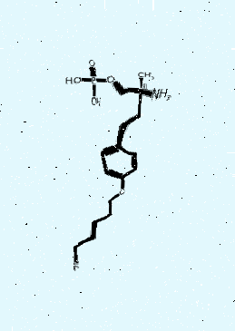 C[C@@](N)(CCc1ccc(OCCCCCF)cc1)COP(=O)(O)O